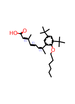 CCCCCCOc1c(\C(C)=C/C=C/C(C)=C/C(=O)O)cc(C(C)(C)C)cc1C(C)(C)C